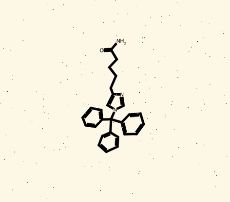 NC(=O)CCCCc1cn(C(c2ccccc2)(c2ccccc2)c2ccccc2)cn1